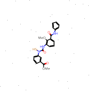 COC(=O)c1cccc(N(S)C(=O)Nc2cccc(C(=O)Nc3ccccc3)c2OC)c1